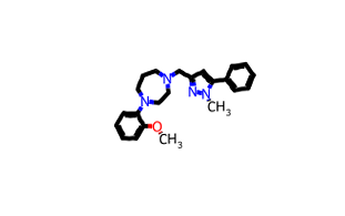 COc1ccccc1N1CCCN(Cc2cc(-c3ccccc3)n(C)n2)CC1